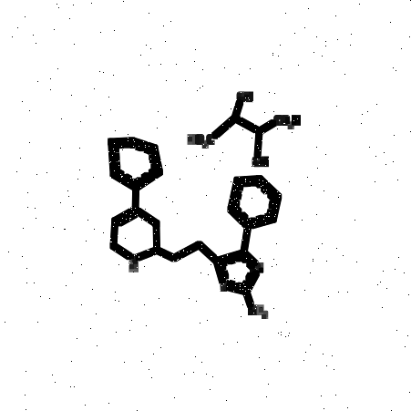 Nc1nc(-c2ccccc2)c(CCC2CC(c3ccccc3)=CCN2)s1.O=C(O)C(O)C(O)C(=O)O